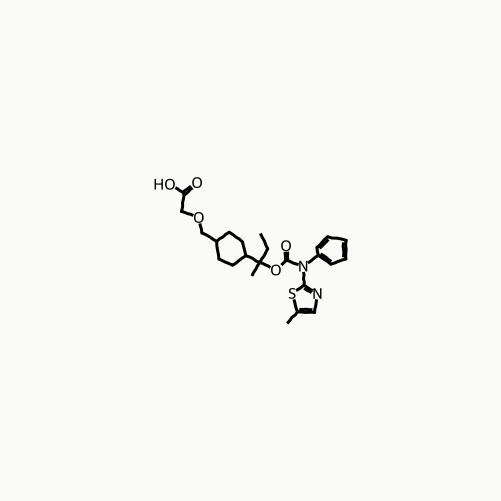 CCC(C)(OC(=O)N(c1ccccc1)c1ncc(C)s1)C1CCC(COCC(=O)O)CC1